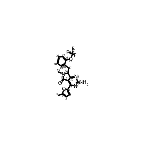 Cc1ccc(-c2nc(N)nc3c2C(=O)N(C)C3Cc2ccccc2OC(F)(F)F)o1